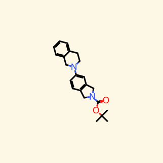 CC(C)(C)OC(=O)N1Cc2ccc(N3CCc4ccccc4C3)cc2C1